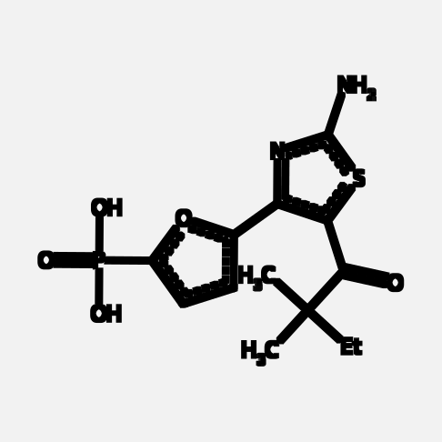 CCC(C)(C)C(=O)c1sc(N)nc1-c1ccc(P(=O)(O)O)o1